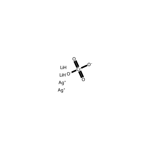 [Ag+].[Ag+].[LiH].[LiH].[O]=[Cr](=[O])([O-])[O-]